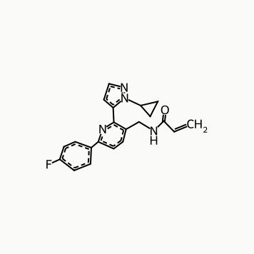 C=CC(=O)NCc1ccc(-c2ccc(F)cc2)nc1-c1ccnn1C1CC1